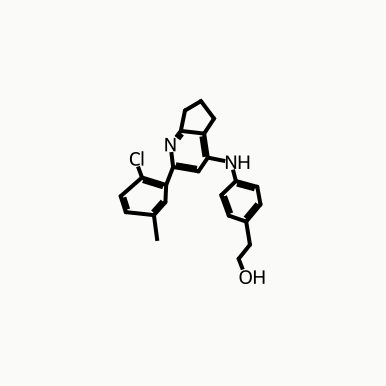 Cc1ccc(Cl)c(-c2cc(Nc3ccc(CCO)cc3)c3c(n2)CCC3)c1